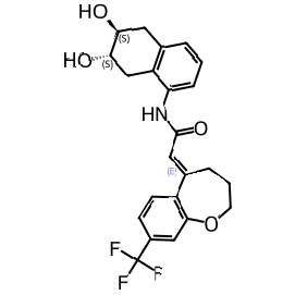 O=C(/C=C1\CCCOc2cc(C(F)(F)F)ccc21)Nc1cccc2c1C[C@H](O)[C@@H](O)C2